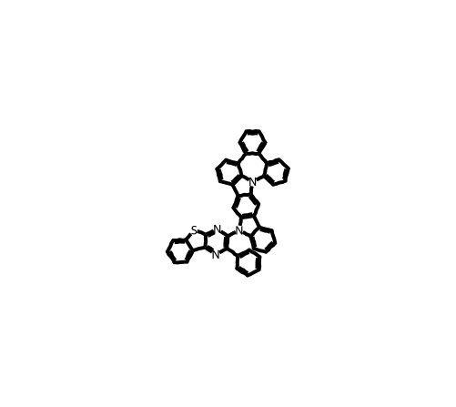 c1ccc(-c2nc3c(nc2-n2c4ccccc4c4cc5c(cc42)c2cccc4c2n5-c2ccccc2-c2ccccc2-4)sc2ccccc23)cc1